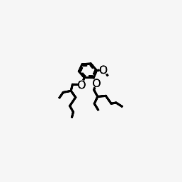 CCCCC(CC)COc1cccc(OC)c1OCC(CC)CCCC